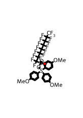 COc1ccc(S(OS(=O)(=O)C(F)(F)C(F)(F)C(F)(F)C(F)(F)C(F)(F)C(F)(F)C(F)(F)C(F)(F)F)(c2ccc(OC)cc2)c2ccc(OC)cc2)cc1